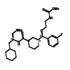 CNC[C@H](CC1CCCCC1)NC(=O)N1CCC[C@@H]([C@@H](OCCNC(=O)OC)c2cccc(F)c2)C1